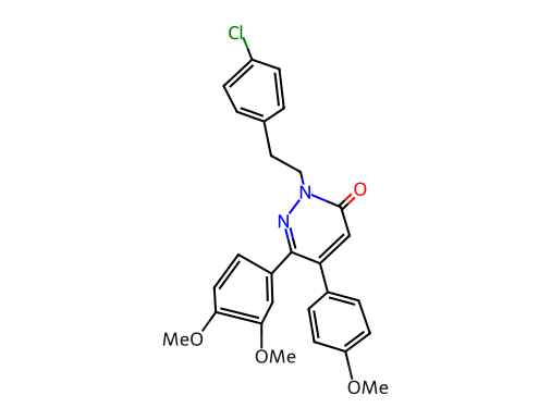 COc1ccc(-c2cc(=O)n(CCc3ccc(Cl)cc3)nc2-c2ccc(OC)c(OC)c2)cc1